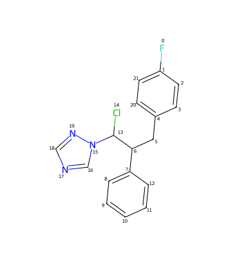 Fc1ccc(CC(c2ccccc2)C(Cl)n2cncn2)cc1